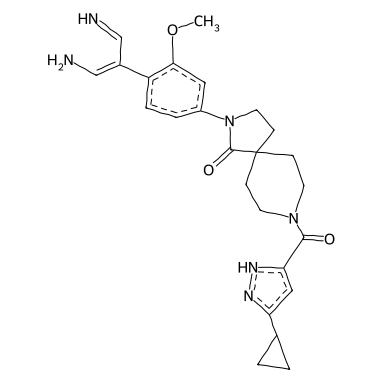 COc1cc(N2CCC3(CCN(C(=O)c4cc(C5CC5)n[nH]4)CC3)C2=O)ccc1/C(C=N)=C/N